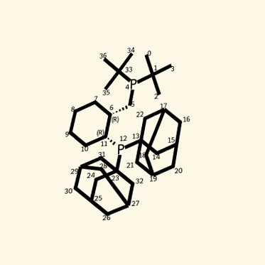 CC(C)(C)P(C[C@H]1CCCC[C@H]1P(C12CC3CC(CC(C3)C1)C2)C12CC3CC(CC(C3)C1)C2)C(C)(C)C